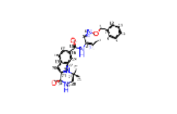 C/C=C(\C=N/OCc1ccccc1)NC(=O)c1ccc2cc3n(c2c1)C(C)(C)CNC3=O